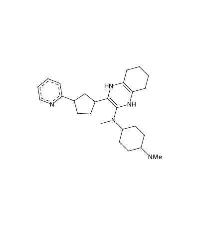 CNC1CCC(N(C)C2=C(C3CCC(c4ccccn4)C3)NC3=C(CCCC3)N2)CC1